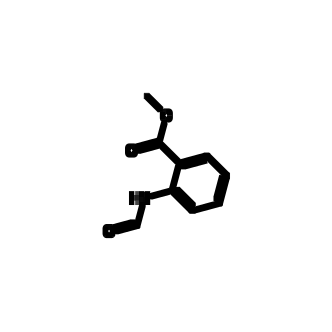 COC(=O)c1ccccc1NC=O